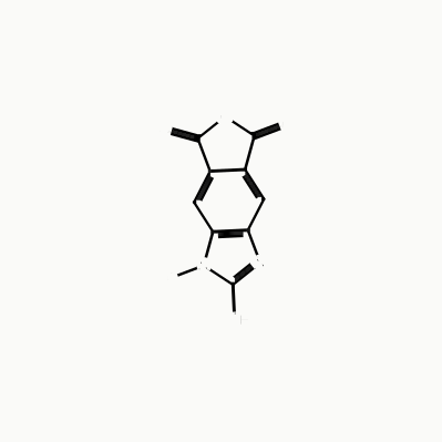 Cc1nc2cc3c(cc2n1C)C(=O)OC3=O